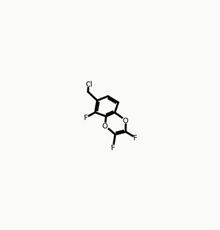 FC1=C(F)Oc2c(ccc(CCl)c2F)O1